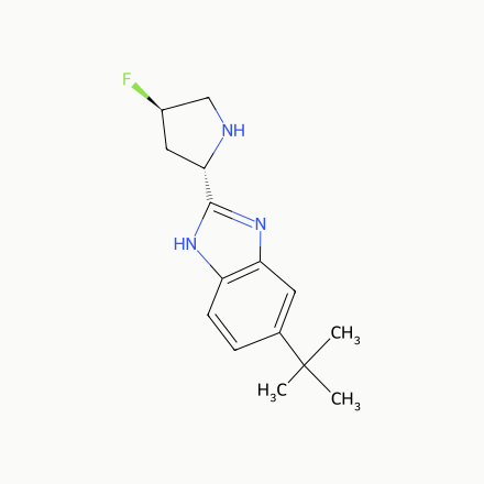 CC(C)(C)c1ccc2[nH]c([C@@H]3C[C@@H](F)CN3)nc2c1